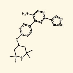 CC1(C)CC(Oc2ccc(-c3nc(-c4cn[nH]c4)ncc3N)nn2)CC(C)(C)N1